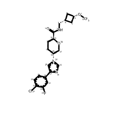 O=C(NC[C@H]1C[C@@H](OC(F)(F)F)C1)[C@@H]1CC[C@@H](n2cnc(-c3ccc(Cl)c(F)c3)c2)CO1